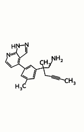 CC#CCC(C)(CN)c1cc(C)cc(-c2ccnc3[nH]ncc23)c1